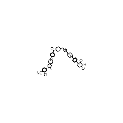 C[C@@H]1CC2(CCN(c3ccc(C(=O)N4CCC(CN5CC(N6CCN(c7ccc(N8CCC(=O)NC8=O)cc7)CC6)C5)CC4)cc3)CC2)CN1c1ccc(C#N)c(Cl)c1